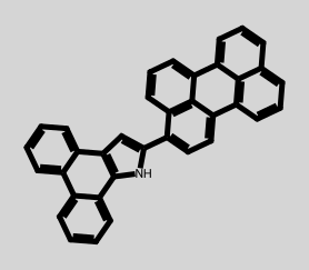 c1ccc2c(c1)c1ccccc1c1[nH]c(-c3ccc4c5cccc6cccc(c7cccc3c74)c65)cc21